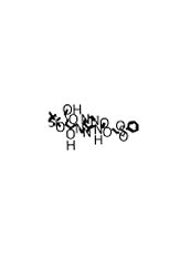 CC(C)(C)[Si](C)(C)O[C@H]1[C@@H](O)[C@H](n2cnc3c(NC(=O)OCCS(=O)(=O)c4ccccc4)ncnc32)O[C@@H]1CO